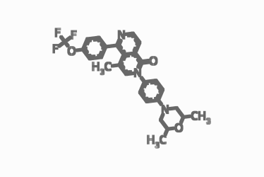 Cc1cn(-c2ccc(N3CC(C)OC(C)C3)cc2)c(=O)c2ccnc(-c3ccc(OC(F)(F)F)cc3)c12